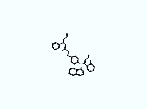 C=C/C=C(\C=C(/C)CCc1ccc(N(/C(=C/C=C)c2ccccc2C)c2cccc3ccccc23)cc1)c1ccccc1